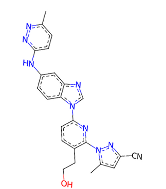 Cc1ccc(Nc2ccc3c(c2)ncn3-c2ccc(CCO)c(-n3nc(C#N)cc3C)n2)nn1